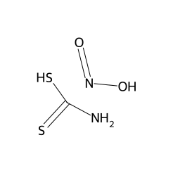 NC(=S)S.O=NO